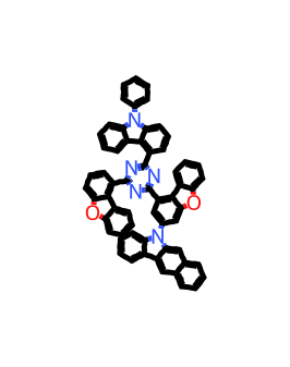 c1ccc(-n2c3ccccc3c3c(-c4nc(-c5cccc6oc7ccccc7c56)nc(-c5cc(-n6c7ccccc7c7cc8ccccc8cc76)cc6oc7ccccc7c56)n4)cccc32)cc1